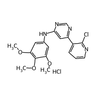 COc1cc(Nc2cc(-c3cccnc3Cl)ncn2)cc(OC)c1OC.Cl